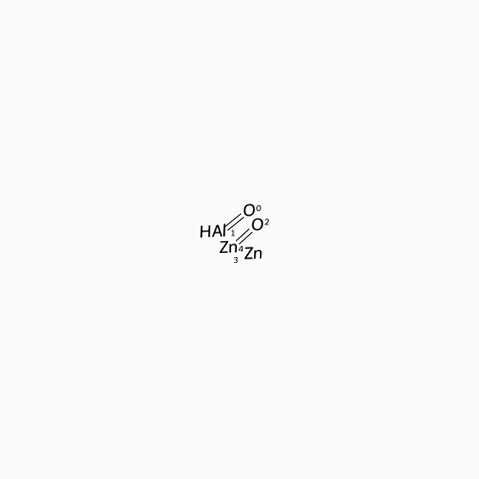 [O]=[AlH].[O]=[Zn].[Zn]